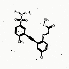 Cc1ccc(S(=O)(=O)N(C)C(C)C)cc1C#Cc1cc(Cl)ccc1OCC(=O)OC(C)(C)C